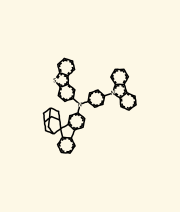 c1ccc2c(c1)-c1ccc(N(c3ccc(-n4c5ccccc5c5ccccc54)cc3)c3ccc4sc5ccccc5c4c3)cc1C21C2CC3CC(C2)CC1C3